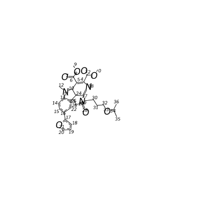 COC(=O)C1=C(C(=O)OC)C2N(C)c3ccc(-c4ccco4)cc3[C@@]23CCC(=O)N(CCCOC(C)C)C3=N1